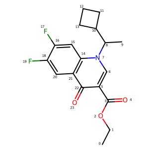 CCOC(=O)c1cn(C(C)C2CCC2)c2cc(F)c(F)cc2c1=O